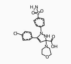 NS(=O)(=O)c1ccc(N2NC(C(=O)O)(N3CCOCC3)C=C2c2ccc(Cl)cc2)cc1